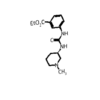 CCOC(=O)c1cccc(NC(=O)N[C@@H]2CCCN(C)C2)c1